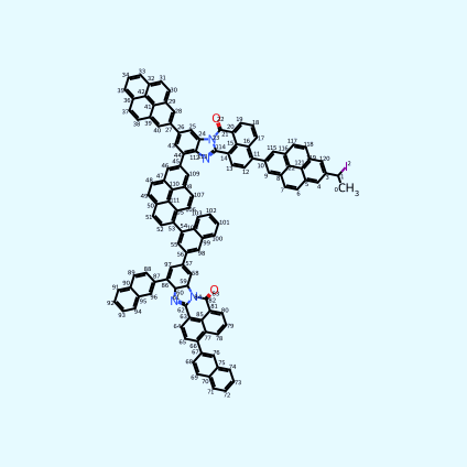 CC(I)c1cc2ccc3cc(-c4ccc5c6c4cccc6c(=O)n4c6cc(-c7cc8ccc9cccc%10ccc(c7)c8c9%10)cc(-c7cc8ccc9ccc(-c%10cc(C%11=CC%12C(N=c%13c%14ccc(-c%15ccc%16ccccc%16c%15)c%15cccc(c(=O)n%13%12)c%15%14)C(c%12ccc%13ccccc%13c%12)=C%11)cc%11ccccc%10%11)c%10ccc(c7)c8c9%10)c6nc54)cc4ccc(c1)c2c34